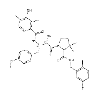 COc1ccc(C[C@H](NC(=O)c2ccc(F)c(O)c2C)[C@H](O)C(=O)N2CSC(C)(C)C2C(=O)NCc2cc(F)ccc2C)cc1